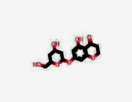 O=C1CCOc2cc(OC3CC(O)CC(CO)O3)cc(O)c21